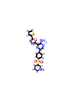 Nc1ncc(-c2ccc(S(=O)(=O)C3CCCNC3)cc2)nc1-c1nnc(-c2cccs2)o1